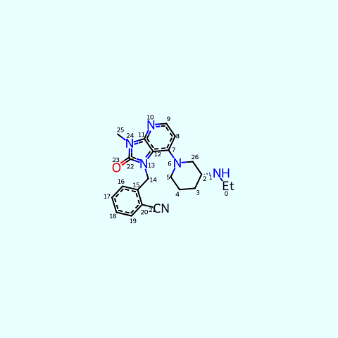 CCN[C@@H]1CCCN(c2ccnc3c2n(Cc2ccccc2C#N)c(=O)n3C)C1